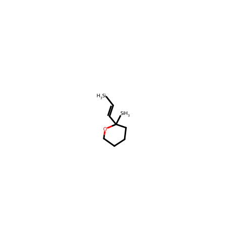 [SiH3]C=CC1([SiH3])CCCCO1